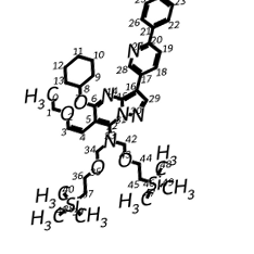 CCO/C=C\c1c(OC2CCCCC2)nc2c(-c3ccc(-c4ccccc4)nc3)cnn2c1N(COCC[Si](C)(C)C)COCC[Si](C)(C)C